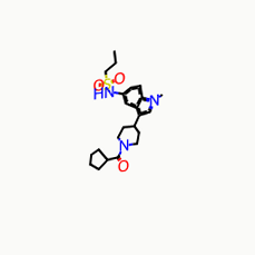 CCCS(=O)(=O)Nc1ccc2c(c1)c(C1CCN(C(=O)C3CCCC3)CC1)cn2C